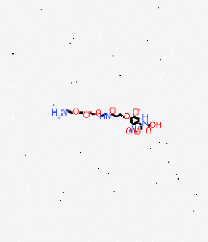 COc1cc(C(C)NC(=O)O)c([N+](=O)[O-])cc1OCCCC(=O)NCCOCCOCCOCCN